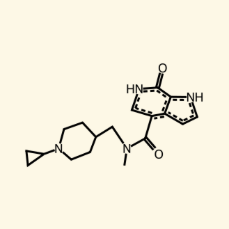 CN(CC1CCN(C2CC2)CC1)C(=O)c1c[nH]c(=O)c2[nH]ccc12